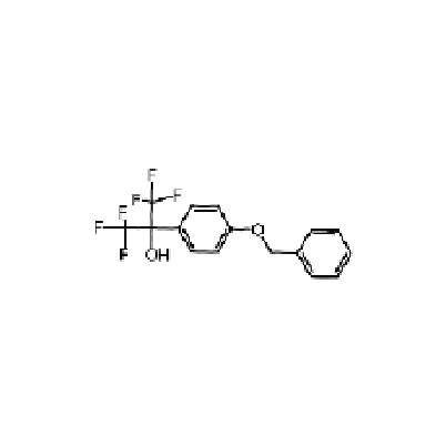 OC(c1ccc(OCc2ccccc2)cc1)(C(F)(F)F)C(F)(F)F